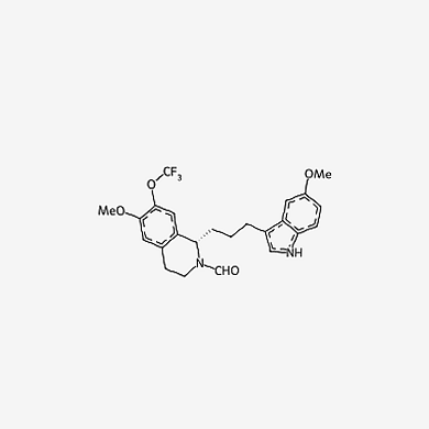 COc1ccc2[nH]cc(CCC[C@H]3c4cc(OC(F)(F)F)c(OC)cc4CCN3C=O)c2c1